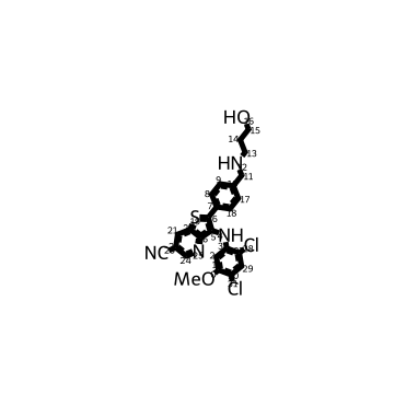 COc1cc(Nc2c(-c3ccc(CNCCCO)cc3)sc3cc(C#N)cnc23)c(Cl)cc1Cl